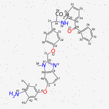 Cc1cc(Oc2ccc3nc(COc4ccc(CC(Nc5ccccc5C(=O)c5ccccc5)C(=O)O)cc4)n(C)c3c2)cc(C)c1N